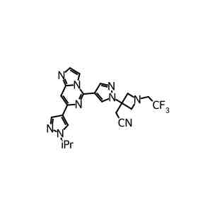 CC(C)n1cc(-c2cc3nccn3c(-c3cnn(C4(CC#N)CN(CC(F)(F)F)C4)c3)n2)cn1